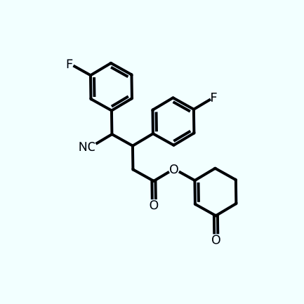 N#CC(c1cccc(F)c1)C(CC(=O)OC1=CC(=O)CCC1)c1ccc(F)cc1